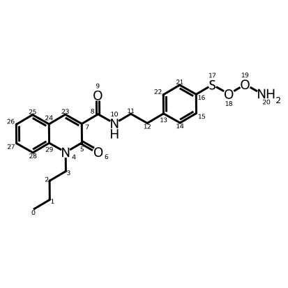 CCCCn1c(=O)c(C(=O)NCCc2ccc(SOON)cc2)cc2ccccc21